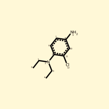 CCN(CC)c1ccc(N)cc1Cl